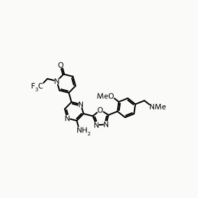 CNCc1ccc(-c2nnc(-c3nc(-c4ccc(=O)n(CC(F)(F)F)c4)cnc3N)o2)c(OC)c1